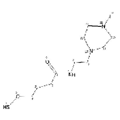 O=C(CCCOS)NCCN1CCN(I)CC1